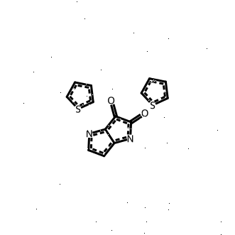 O=c1nc2ccnc-2c1=O.c1ccsc1.c1ccsc1